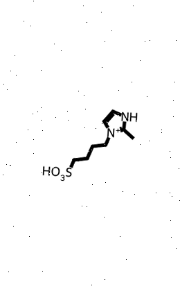 Cc1[nH]cc[n+]1CCCCS(=O)(=O)O